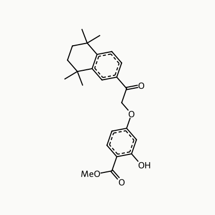 COC(=O)c1ccc(OCC(=O)c2ccc3c(c2)C(C)(C)CCC3(C)C)cc1O